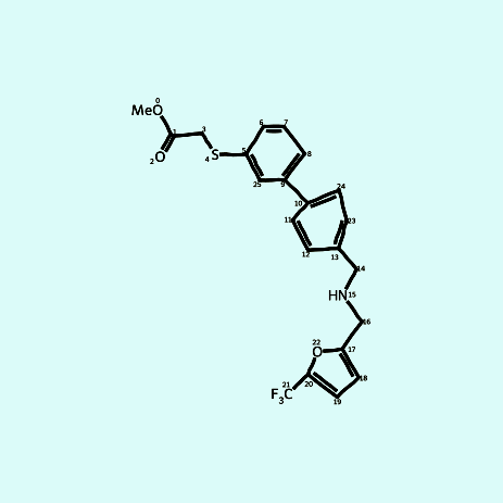 COC(=O)CSc1cccc(-c2ccc(CNCc3ccc(C(F)(F)F)o3)cc2)c1